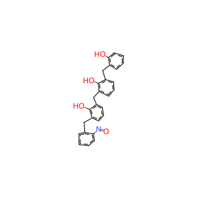 O=Nc1ccccc1Cc1cccc(Cc2cccc(Cc3ccccc3O)c2O)c1O